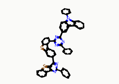 c1ccc(-c2nc(-c3ccc4c(c3)c3ccccc3n4-c3ccccc3)nc(-c3cccc4sc5cc(-c6nc(-c7ccccc7)nc7c6sc6ccccc67)ccc5c34)n2)cc1